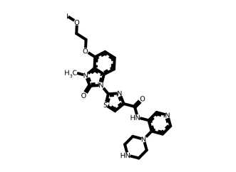 Cn1c(=O)n(-c2nc(C(=O)Nc3cnccc3N3CCNCC3)cs2)c2cccc(OCCOI)c21